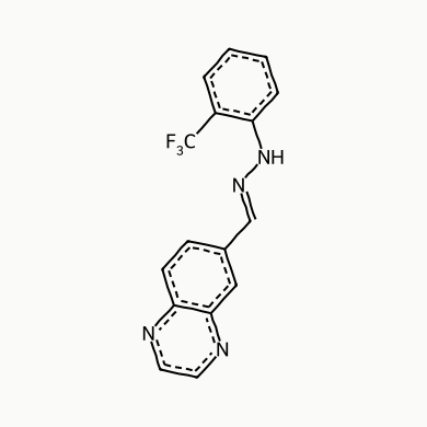 FC(F)(F)c1ccccc1N/N=C/c1ccc2nccnc2c1